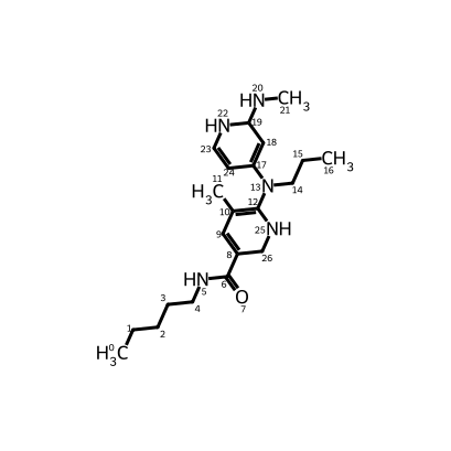 CCCCCNC(=O)C1=CC(C)=C(N(CCC)C2=CC(NC)NC=C2)NC1